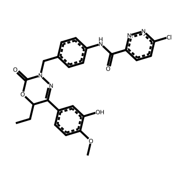 CCC1OC(=O)N(Cc2ccc(NC(=O)c3ccc(Cl)nn3)cc2)N=C1c1ccc(OC)c(O)c1